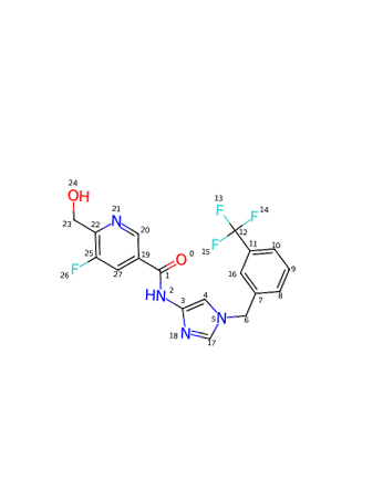 O=C(Nc1cn(Cc2cccc(C(F)(F)F)c2)cn1)c1cnc(CO)c(F)c1